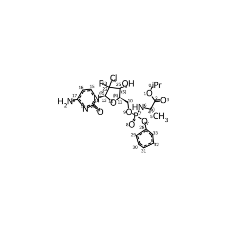 CC(C)OC(=O)[C@H](C)NP(=O)(OC[C@H]1O[C@@H](n2ccc(N)nc2=O)C(F)(Cl)[C@H]1O)Oc1ccccc1